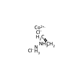 C=C.N.N.[Cl-].[Cl-].[Co+2]